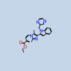 C=C(/C=C\n1c(C)nc(-c2cc3ccccc3n2Cc2cnccn2)c1C)C(=O)OCC